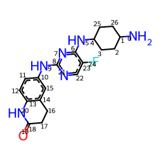 NC1CCC(Nc2nc(Nc3ccc4c(c3)CCC(=O)N4)ncc2F)CC1